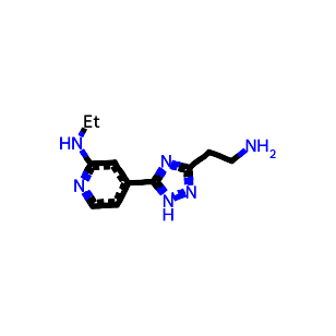 CCNc1cc(-c2nc(CCN)n[nH]2)ccn1